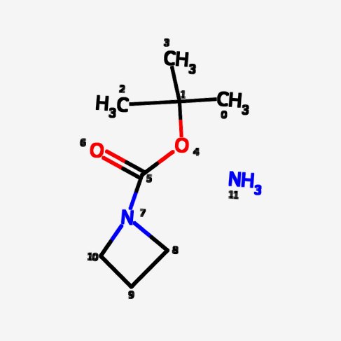 CC(C)(C)OC(=O)N1CCC1.N